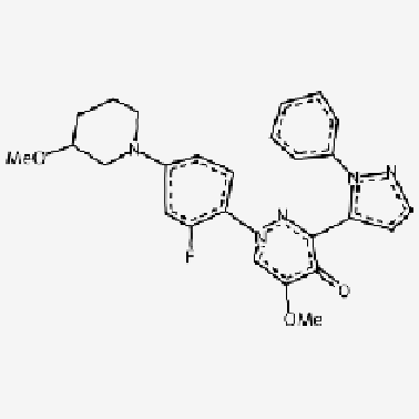 COc1cn(-c2ccc(N3CCCC(OC)C3)cc2F)nc(-c2ccnn2-c2ccccc2)c1=O